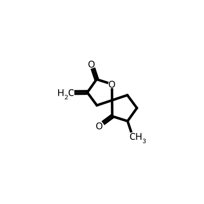 C=C1CC2(CCC(C)C2=O)OC1=O